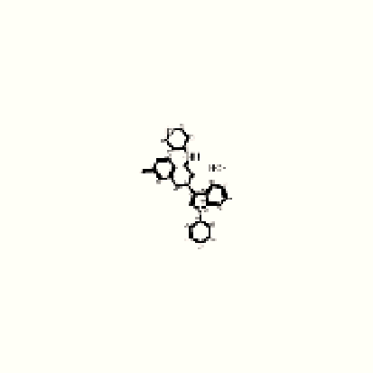 Cc1cccc(CC(CCNC2CCNCC2)c2cn(C3CCCCC3)c3ccccc23)c1.Cl